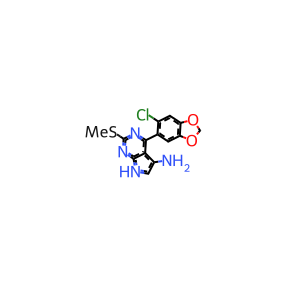 CSc1nc(-c2cc3c(cc2Cl)OCO3)c2c(N)c[nH]c2n1